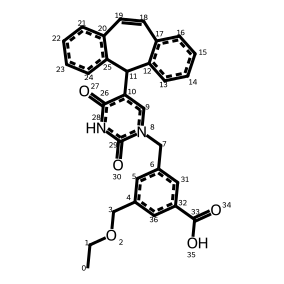 CCOCc1cc(Cn2cc(C3c4ccccc4C=Cc4ccccc43)c(=O)[nH]c2=O)cc(C(=O)O)c1